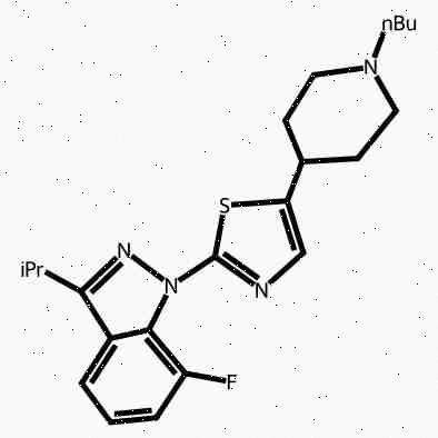 CCCCN1CCC(c2cnc(-n3nc(C(C)C)c4cccc(F)c43)s2)CC1